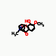 COc1ccc2c(c1O)C13CC(=O)C=CC4(C1)N(C)C(C2)C34O